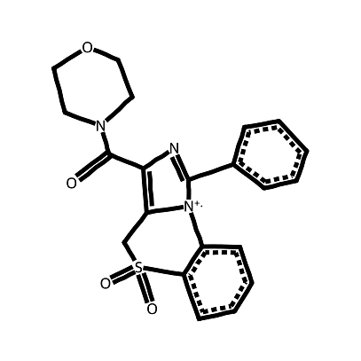 O=C(C1=C2CS(=O)(=O)c3ccccc3[N+]2C(c2ccccc2)=N1)N1CCOCC1